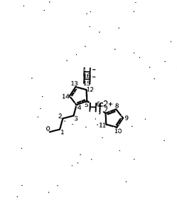 CCCCC1=[C]([Hf+2][C]2=CC=CC2)CC=C1.[H-].[H-]